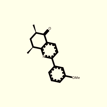 COc1cccc(-c2ccc3c(n2)[C@@H](C)C[C@@H](C)C3=O)c1